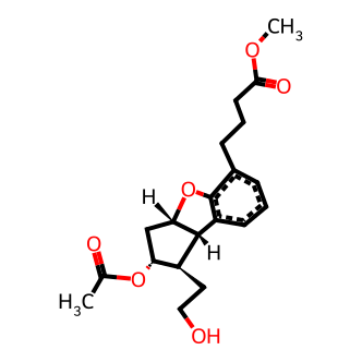 COC(=O)CCCc1cccc2c1O[C@H]1C[C@@H](OC(C)=O)[C@H](CCO)[C@@H]21